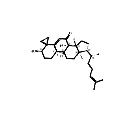 CC(C)=CCC[C@@H](C)[C@H]1CC[C@H]2[C@@H]3C(=O)C=C4C5(CC5)[C@H](O)CC[C@]4(C)[C@H]3CC[C@]12C